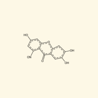 O=Nc1cc(O)cc2oc3cc(O)c(O)cc3c(=O)c12